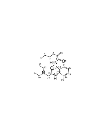 C=C(CCCC)C(N)=O.CCN(CC)CC(=O)Nc1c(C)cccc1C